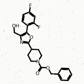 O=C(OCc1ccccc1)N1CCC(c2nc(CO)c(-c3ccc(F)cc3F)o2)CC1